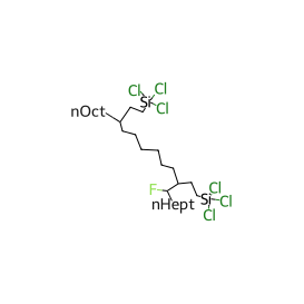 CCCCCCCCC(CCCCCCC(CC[Si](Cl)(Cl)Cl)C(F)CCCCCCC)CC[Si](Cl)(Cl)Cl